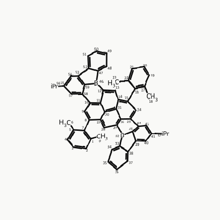 Cc1cccc(C)c1-c1cc2c3c(cc4c(-c5c(C)cccc5C)cc5c6c(cc1c3c46)B1c3ccccc3-c3cc(C(C)C)cc-5c31)B1c3ccccc3-c3cc(C(C)C)cc-2c31